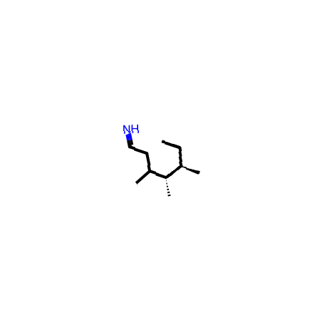 CC[C@@H](C)[C@H](C)C(C)CC=N